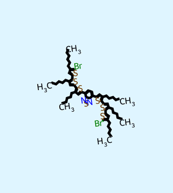 CCCCCCc1cc(-c2sc(-c3sc(-c4ccc(-c5cc(CCCCCC)c(-c6cc(CCCCCC)c(-c7cc(CCCCCC)c(Br)s7)s6)s5)c5nsnc45)cc3CCCCCC)cc2CCCCCC)sc1Br